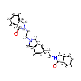 O=C1c2ccccc2CN1CCc1ccc2c(c1)CN(CCN1Cc3ccccc3C1=O)C2